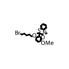 COc1ccc(OCCCCCBr)c(C2(C)Sc3ccccc3N(C)C2=O)c1